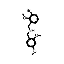 COc1ccc(CNCc2cccc(Br)c2OC)c(OC)c1